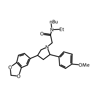 CCCCN(CC)C(=O)CN1CC(c2ccc3c(c2)OCO3)CC1c1ccc(OC)cc1